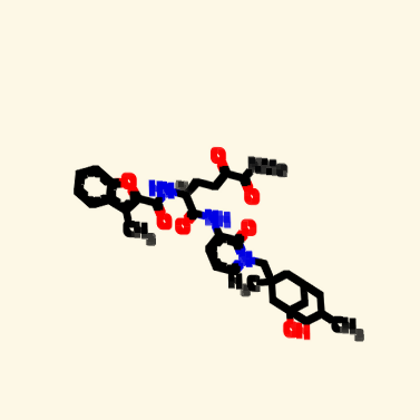 CNC(=O)C(=O)CC[C@H](NC(=O)c1oc2ccccc2c1C)C(=O)Nc1cccn(CC2(C)CC3CC(C)CC(O)(C3)C2)c1=O